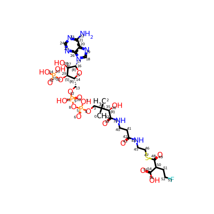 CC(C)(COP(=O)(O)OP(=O)(O)OC[C@H]1O[C@@H](n2cnc3c(N)ncnc32)[C@H](O)[C@@H]1OP(=O)(O)O)[C@@H](O)C(=O)NCCC(=O)NCCSC(=O)C(CCF)C(=O)O